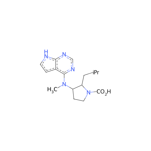 CC(C)CC1C(N(C)c2ncnc3[nH]ccc23)CCN1C(=O)O